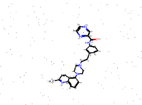 Cc1ccc2c(N3CCN(CCc4cccc(NC(=O)c5cnccn5)c4)CC3)cccc2n1